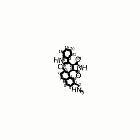 CNCc1ccc2ccc(Cl)c(C3=C(c4c[nH]c5ccccc45)C(=O)NC3=O)c2c1